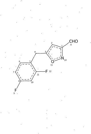 O=Cc1cc(Cc2ccc(F)cc2F)on1